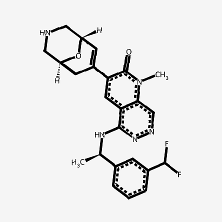 C[C@@H](Nc1nncc2c1cc(C1=C[C@H]3CNC[C@H](C1)O3)c(=O)n2C)c1cccc(C(F)F)c1